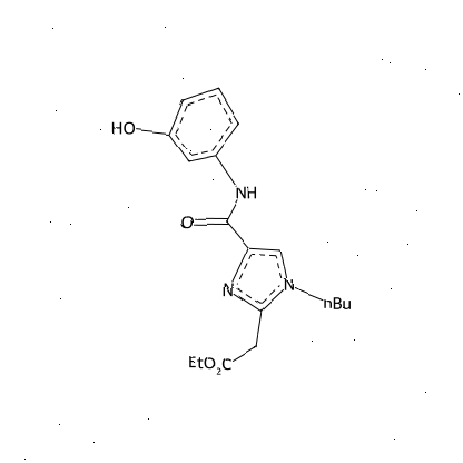 CCCCn1cc(C(=O)Nc2cccc(O)c2)nc1CC(=O)OCC